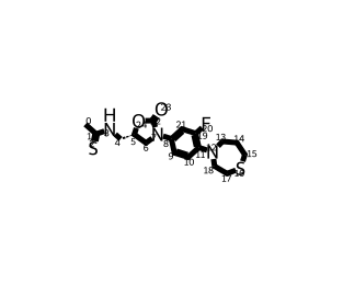 CC(=S)NC[C@H]1CN(c2ccc(N3CCCSCC3)c(F)c2)C(=O)O1